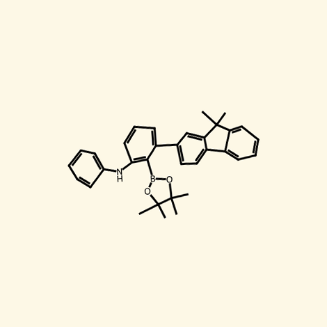 CC1(C)c2ccccc2-c2ccc(-c3cccc(Nc4ccccc4)c3B3OC(C)(C)C(C)(C)O3)cc21